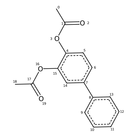 CC(=O)Oc1ccc(-c2ccccc2)cc1OC(C)=O